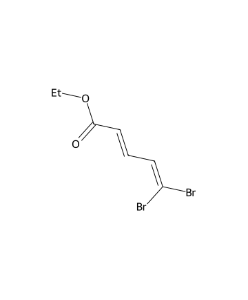 CCOC(=O)/C=C/C=C(Br)Br